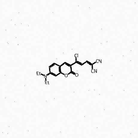 CCN(CC)c1ccc2cc(C(Cl)=CC=C(C#N)C#N)c(=O)oc2c1